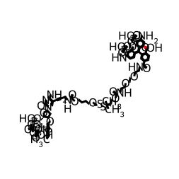 CCSSCO[C@@H]1C[C@H](n2cc(C#CCNC(=O)OCCCCOCSSC(C)(C)CCOC(=O)NCCOCCOCCNC(=O)c3ccc(C(=O)O)c(-c4c5ccc(=N)c(S(=O)(=O)O)c-5oc5c(S(=O)(=O)O)c(N)ccc45)c3)c(N)nc2=O)O[C@@H]1COP(=O)(O)OP(=O)(O)OP(=O)(O)O